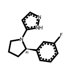 Fc1cccc([C@H]2CCCN2c2ccn[nH]2)c1